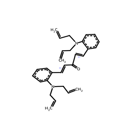 C=CCN(CC=C)c1ccccc1/C=C/C(=O)/C=C/c1ccccc1N(CC=C)CC=C